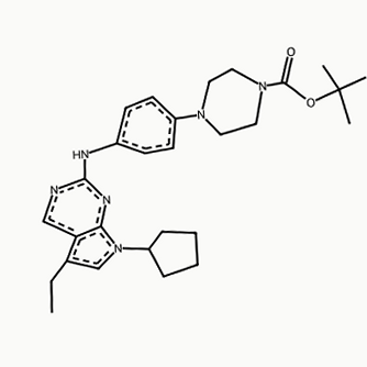 CCc1cn(C2CCCC2)c2nc(Nc3ccc(N4CCN(C(=O)OC(C)(C)C)CC4)cc3)ncc12